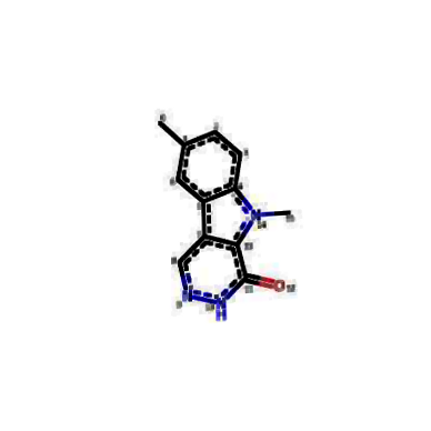 Cc1ccc2c(c1)c1cn[nH]c(=O)c1n2C